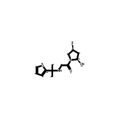 CC(C)(NCC(=O)N1C[C@@H](F)C[C@H]1C#N)c1ccco1